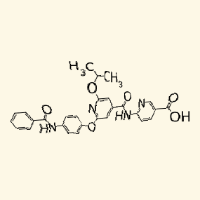 CC(C)Oc1cc(C(=O)Nc2ccc(C(=O)O)cn2)cc(Oc2ccc(NC(=O)c3ccccc3)cc2)n1